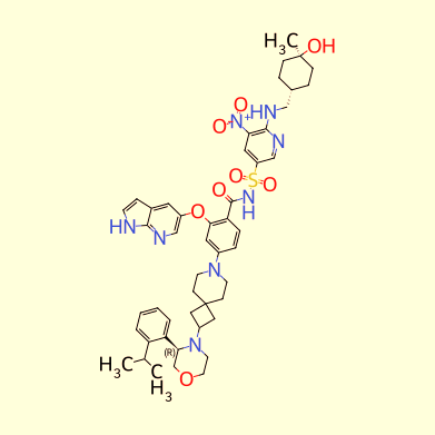 CC(C)c1ccccc1[C@@H]1COCCN1C1CC2(CCN(c3ccc(C(=O)NS(=O)(=O)c4cnc(NC[C@H]5CC[C@](C)(O)CC5)c([N+](=O)[O-])c4)c(Oc4cnc5[nH]ccc5c4)c3)CC2)C1